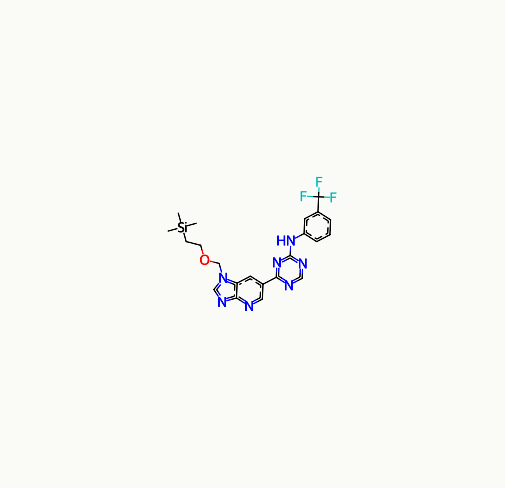 C[Si](C)(C)CCOCn1cnc2ncc(-c3ncnc(Nc4cccc(C(F)(F)F)c4)n3)cc21